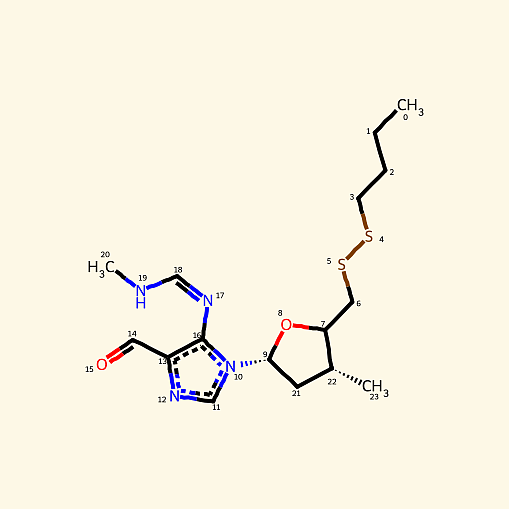 CCCCSSCC1O[C@@H](n2cnc(C=O)c2/N=C\NC)C[C@H]1C